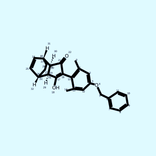 Cc1cc(OCc2ccccc2)cc(C)c1C1=C(O)[C@@H]2[C@H](C1=O)[C@H]1C=C[C@@H]2CC1